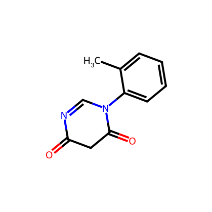 Cc1ccccc1N1C=NC(=O)CC1=O